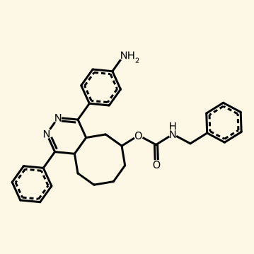 Nc1ccc(C2=NN=C(c3ccccc3)C3CCCCC(OC(=O)NCc4ccccc4)CC23)cc1